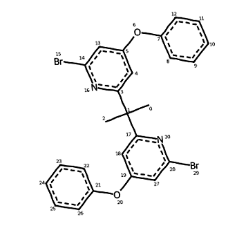 CC(C)(c1cc(Oc2ccccc2)cc(Br)n1)c1cc(Oc2ccccc2)cc(Br)n1